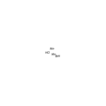 Br.Cl.[Mn].[Mn]